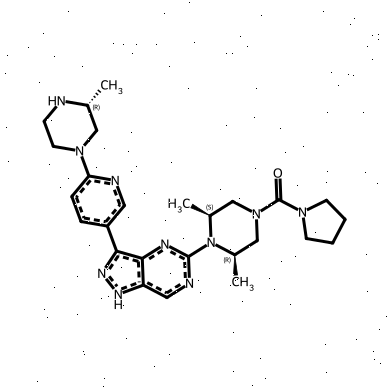 C[C@@H]1CN(c2ccc(-c3n[nH]c4cnc(N5[C@H](C)CN(C(=O)N6CCCC6)C[C@@H]5C)nc34)cn2)CCN1